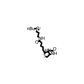 CCCC[N+](C)(C)CCCNC(=O)CCCCC1SCC2NC(=O)NC21